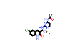 CCC(=O)Nc1ccnc(N[C@@H](C)c2cc3cc(Cl)ccc3[nH]c2=O)n1